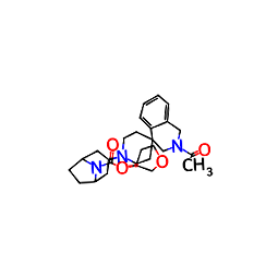 CC(=O)N1Cc2ccccc2C2(CCN(C3CC4CCC(C3)N4C(=O)O[C@H]3CCOC3)CC2)C1